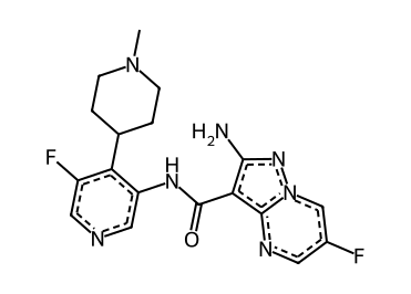 CN1CCC(c2c(F)cncc2NC(=O)c2c(N)nn3cc(F)cnc23)CC1